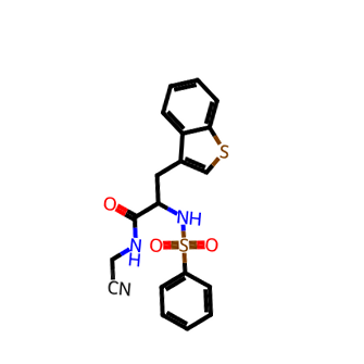 N#CCNC(=O)C(Cc1csc2ccccc12)NS(=O)(=O)c1ccccc1